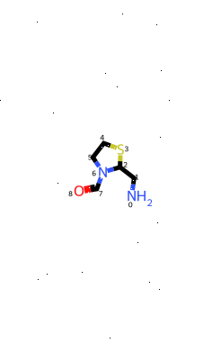 NCC1SCCN1C=O